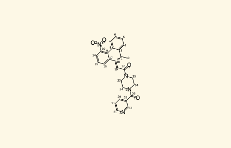 CC(C)c1ccccc1-c1c([N+](=O)[O-])[c]ccc1/C=C/C(=O)N1CCN(C(=O)c2cccnc2)CC1